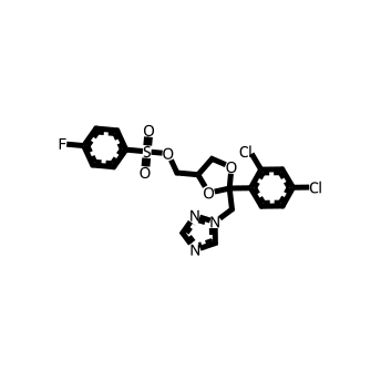 O=S(=O)(OCC1COC(Cn2cncn2)(c2ccc(Cl)cc2Cl)O1)c1ccc(F)cc1